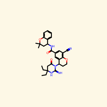 CCC1(CC)CC(=O)N(C2CCOc3c(C#N)cc(C(=O)NC4CC(C)(C)Oc5ccccc54)cc32)C(=N)N1